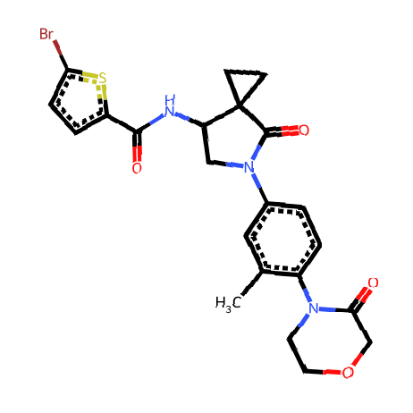 Cc1cc(N2CC(NC(=O)c3ccc(Br)s3)C3(CC3)C2=O)ccc1N1CCOCC1=O